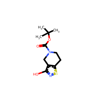 CC(C)(C)OC(=O)N1CCc2snc(O)c2C1